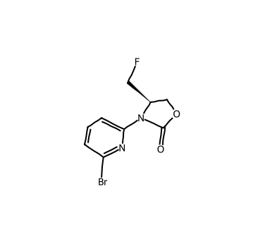 O=C1OC[C@H](CF)N1c1cccc(Br)n1